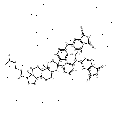 CC(C)CCCC(C)C1CCC2C3CCC4CC(c5ccc(Oc6ccc7c(c6)C(=O)OC7=O)cc5)(c5cccc(C(OO)c6ccc7c(c6)C(=O)OC7=O)c5)CCC4(C)C3CCC12C